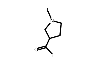 O=C(I)C1CCN(I)C1